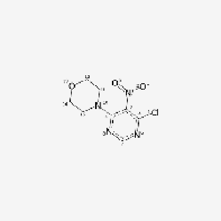 O=[N+]([O-])c1c(Cl)ncnc1N1CCOCC1